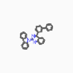 c1ccc(-c2cccc(-c3nc(-n4c5ccccc5c5ccccc54)nc4ccccc34)c2)cc1